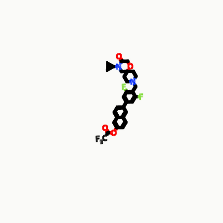 O=C1COC2(CCN(Cc3c(F)cc(-c4ccc5cc(OC(=O)C(F)(F)F)ccc5c4)cc3F)CC2)CN1C1CC1